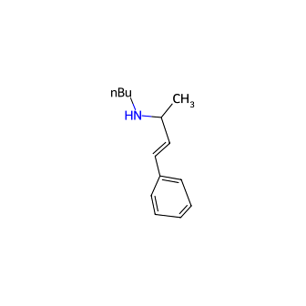 CCCCNC(C)C=Cc1ccccc1